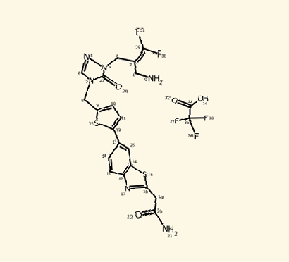 NCC(Cn1ncn(Cc2ccc(-c3ccc4nc(CC(N)=O)sc4c3)s2)c1=O)=C(F)F.O=C(O)C(F)(F)F